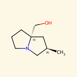 C[C@H]1CN2CCC[C@@]2(CO)C1